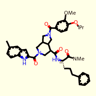 CNC(=O)[C@H](CCCc1ccccc1)NC(=O)C1CN(C(=O)c2cc3cc(C)ccc3[nH]2)CC2CN(C(=O)c3ccc(OC(C)C)c(OC)c3)CC21